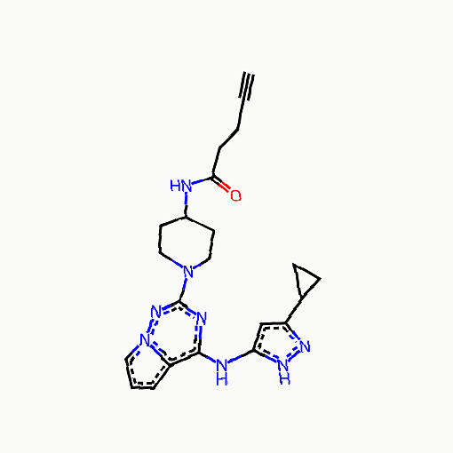 C#CCCC(=O)NC1CCN(c2nc(Nc3cc(C4CC4)n[nH]3)c3cccn3n2)CC1